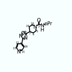 CCCNC(=O)N1CCC(c2nc(-c3ccncc3)no2)CC1